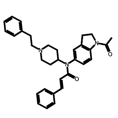 CC(=O)N1CCc2cc(N(C(=O)/C=C/c3ccccc3)C3CCN(CCc4ccccc4)CC3)ccc21